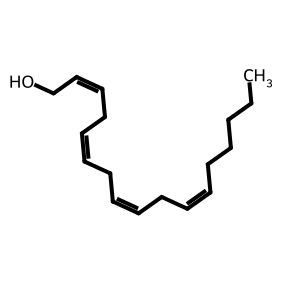 CCCCC/C=C\C/C=C\C/C=C\C/C=C\CO